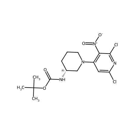 CC(C)(C)OC(=O)N[C@@H]1CCCN(c2cc(Cl)nc(Cl)c2[N+](=O)[O-])C1